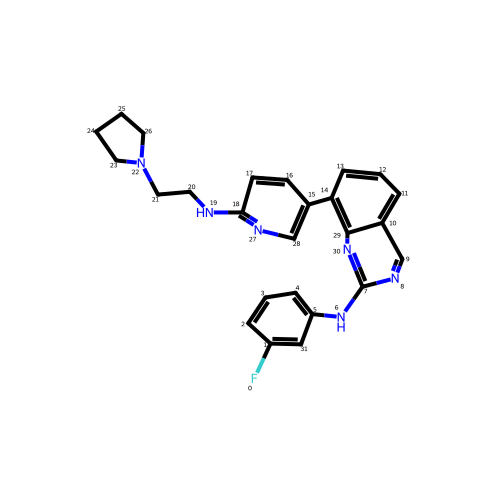 Fc1cccc(Nc2ncc3cccc(-c4ccc(NCCN5CCCC5)nc4)c3n2)c1